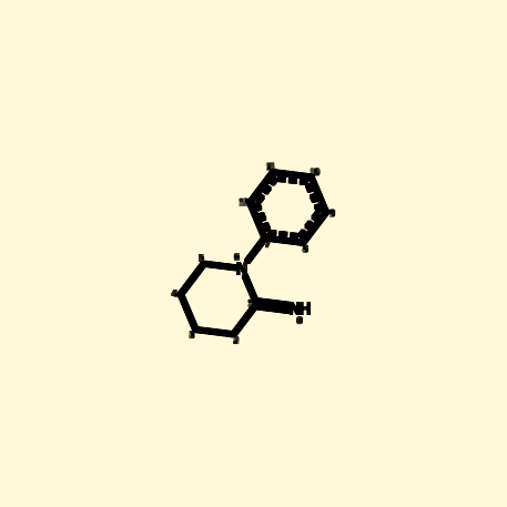 N=C1CCCCN1c1ccccc1